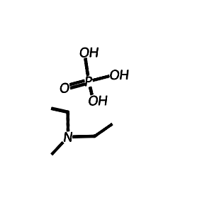 CCN(C)CC.O=P(O)(O)O